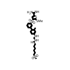 CSc1sc(C(=N)N)cc1S(=O)(=O)c1cccc(-c2ccc(NCNNCCCCCCS(C)(=O)=O)cc2C)c1